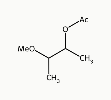 COC(C)C(C)OC(C)=O